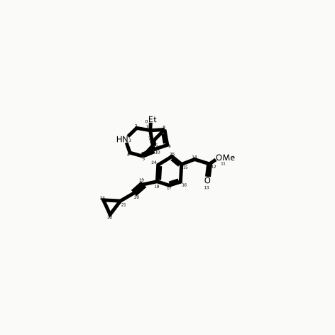 CCC12CNCc3ccc1cc32.COC(=O)Cc1ccc(C#CC2CC2)cc1